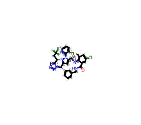 Cc1cc(Cl)cc(C(=O)NCc2ccccc2)c1NC(=O)c1cc(Cn2nnnc2CCC(F)(F)F)nn1-c1ncccc1Cl